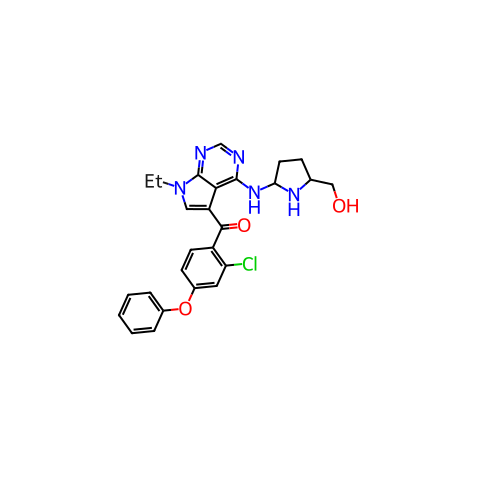 CCn1cc(C(=O)c2ccc(Oc3ccccc3)cc2Cl)c2c(NC3CCC(CO)N3)ncnc21